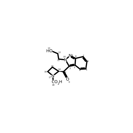 O=C(c1c2ccccc2nn1CCO)[C@@H]1CCN1C(=O)O